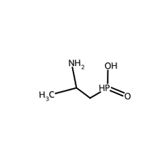 CC(N)C[PH](=O)O